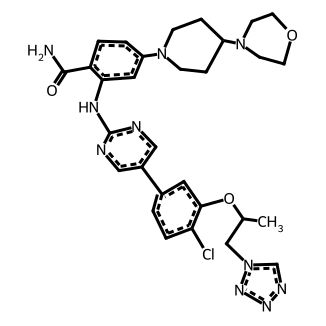 CC(Cn1cnnn1)Oc1cc(-c2cnc(Nc3cc(N4CCC(N5CCOCC5)CC4)ccc3C(N)=O)nc2)ccc1Cl